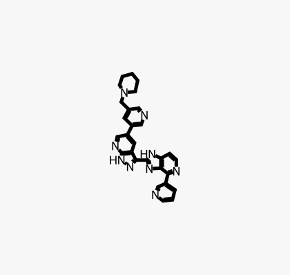 c1cncc(-c2nccc3[nH]c(-c4n[nH]c5ncc(-c6cncc(CN7CCCCC7)c6)cc45)nc23)c1